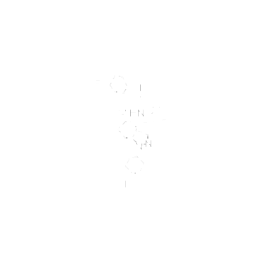 CC(NC(=O)C(F)(F)F)C(Oc1ccc2c(cnn2-c2ccc(F)cc2)c1)c1cccc(F)c1